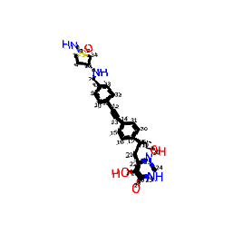 N=S1(=O)CC[C@@H](NCc2ccc(C#Cc3ccc(C(CO)Cc4nc[nH]c(=O)c4O)cc3)cc2)C1